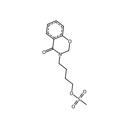 CS(=O)(=O)OCCCCN1COc2ccccc2C1=O